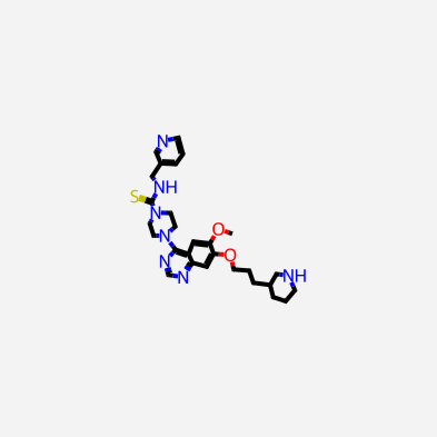 COc1cc2c(N3CCN(C(=S)NCc4cccnc4)CC3)ncnc2cc1OCCCC1CCCNC1